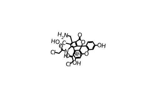 NCc1c(C(=O)O)c(NC(=O)CCl)c(NC(=O)CCl)c2c1C(=O)OC21c2ccc(O)cc2Oc2cc(O)ccc21